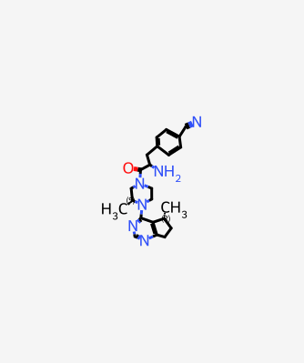 C[C@@H]1CCc2ncnc(N3CCN(C(=O)C(N)Cc4ccc(C#N)cc4)C[C@@H]3C)c21